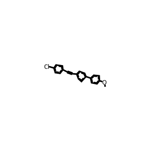 COc1ccc(-c2ccc(C#Cc3ccc(Cl)cc3)cc2)cc1